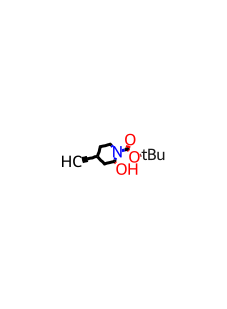 C#CC1CCN(C(=O)OC(C)(C)C)C(O)C1